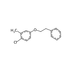 Cc1cc(OCCc2ccccc2)ccc1Cl